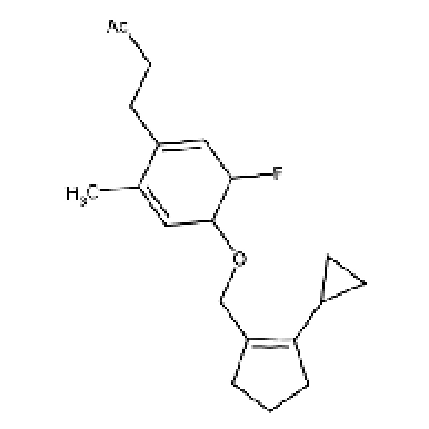 CC(=O)CCC1=CC(F)C(OCC2=C(C3CC3)CCC2)C=C1C